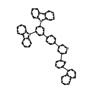 c1cc(-c2cncc(-c3ccc(-c4cc(-n5c6ccccc6c6ccccc65)cc(-n5c6ccccc6c6ccccc65)c4)cc3)c2)cc(-c2cccc3ccccc23)c1